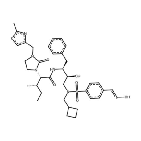 CC[C@H](C)[C@@H](C(=O)N[C@@H](Cc1ccccc1)[C@@H](O)CN(CC1CCC1)S(=O)(=O)c1ccc(C=NO)cc1)N1CCN(Cc2csc(C)n2)C1=O